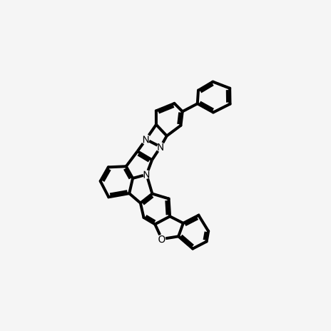 C1=CC2C(C=C1c1ccccc1)n1c3c(c4cccc5c6cc7oc8ccccc8c7cc6n3c54)n12